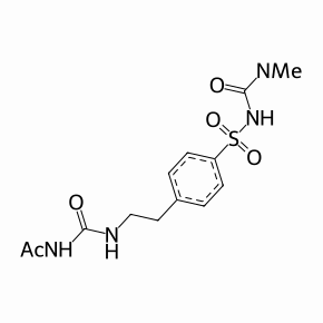 CNC(=O)NS(=O)(=O)c1ccc(CCNC(=O)NC(C)=O)cc1